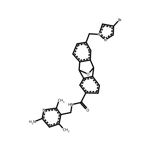 Cc1cc(N)nc(C)c1CNC(=O)c1ccc2c(c1)C1OC2c2cc(Cn3cc(Br)cn3)ccc21